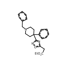 CCOC(=O)Cc1nc(C2(c3ccccc3)CCN(Cc3ccccc3)CC2)no1